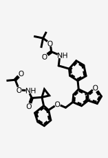 CC(=O)ONC(=O)C1(c2ccccc2OCc2cc(-c3cccc(CNC(=O)OC(C)(C)C)c3)c3occc3c2)CC1